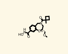 COC[C@H]1CN(C(=O)C2(C)CCC2)Cc2ccc(C(=O)NO)cc2O1